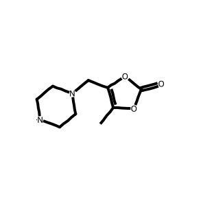 Cc1oc(=O)oc1CN1CC[N]CC1